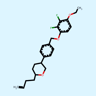 C=CCCC1CCC(c2ccc(COc3ccc(OCC)c(F)c3F)cc2)CO1